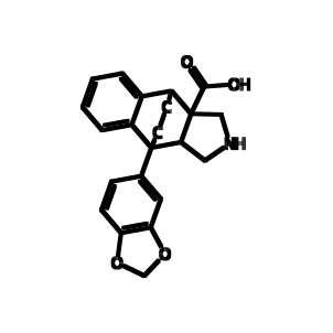 O=C(O)C12CNCC1C1(c3ccc4c(c3)OCO4)CCC2c2ccccc21